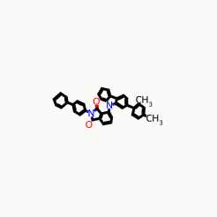 Cc1ccc(-c2ccc3c4ccccc4n(-c4cccc5c4C(=O)N(c4ccc(-c6ccccc6)cc4)C5=O)c3c2)c(C)c1